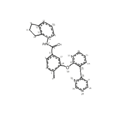 Cc1ccc(C(=O)Nc2cccc3c2CCC3)cc1Oc1ncccc1-c1ccncn1